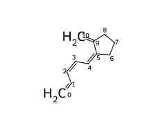 C=C/C=C\C=C1\CCCC1=C